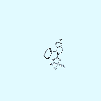 CC(C)(C)OC(=O)N1CCc2cc(Br)ccc2C1c1ccccc1